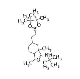 CCC1CCC(CCB2OC(C)(C)C(C)(C)O2)CC1(C)C(=O)NC(C)(C)C